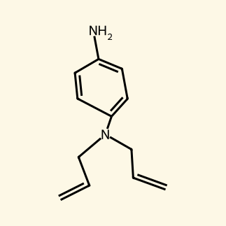 C=CCN(CC=C)c1ccc(N)cc1